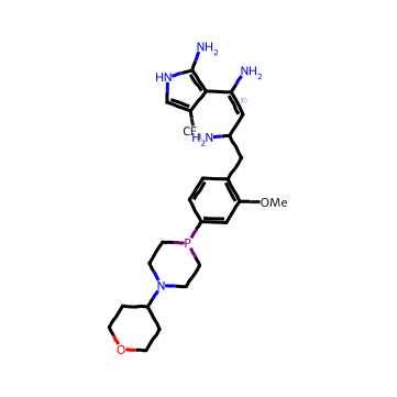 COc1cc(P2CCN(C3CCOCC3)CC2)ccc1CC(N)/C=C(/N)c1c(C(F)(F)F)c[nH]c1N